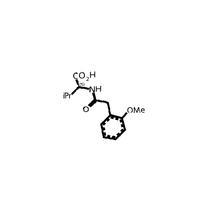 COc1ccccc1CC(=O)N[C@H](C(=O)O)C(C)C